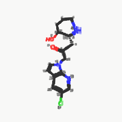 O=C(C[C@H]1NCCC[C@@H]1O)Cn1ccc2cc(Cl)cnc21